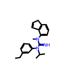 CCc1cccc(N(C(=N)N(C)c2cccc3c2C=CC3)C(C)C)c1